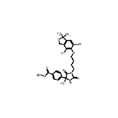 CCCc1cc2c(c(CCC)c1OCCCCN1C(=O)NC(C)(c3ccc(C(=O)OC(C)(C)C)cc3)C1=O)COC2(C(F)(F)F)C(F)(F)F